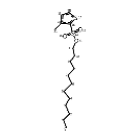 CCCCCCCCCCCCOS(=O)(=O)c1sccc1C